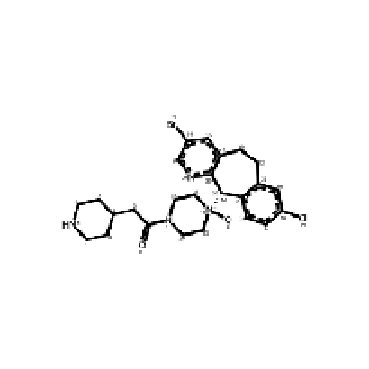 O=C(CC1CCNCC1)N1CC[N+]([O-])([C@H]2c3ccc(Cl)cc3CCc3cc(Br)cnc32)CC1